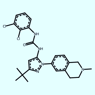 CN1CCc2cc(-n3nc(C(C)(C)C)cc3NC(=O)Nc3cccc(Cl)c3Cl)ccc2C1